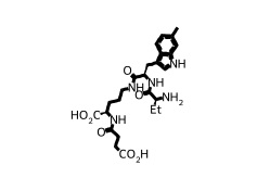 CC[C@H](N)C(=O)N[C@H](Cc1c[nH]c2cc(C)ccc12)C(=O)NCCC[C@@H](NC(=O)CCC(=O)O)C(=O)O